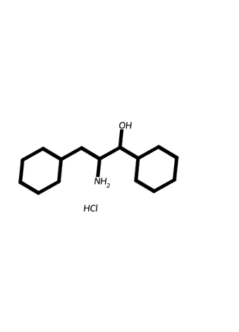 Cl.NC(CC1CCCCC1)C(O)C1CCCCC1